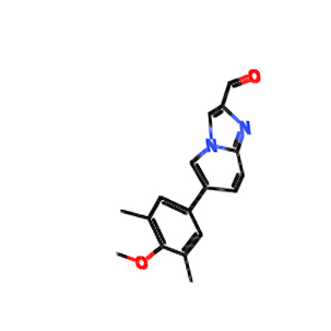 COc1c(C)cc(-c2ccc3nc(C=O)cn3c2)cc1C